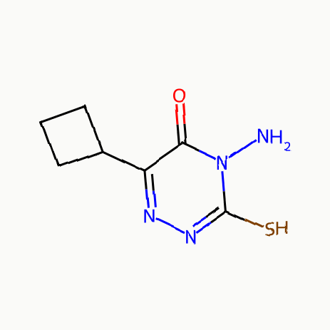 Nn1c(S)nnc(C2CCC2)c1=O